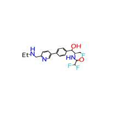 CCNCc1ccc(-c2ccc([C@@H](O)[C@@H](CF)NC(=O)C(F)F)cc2)cn1